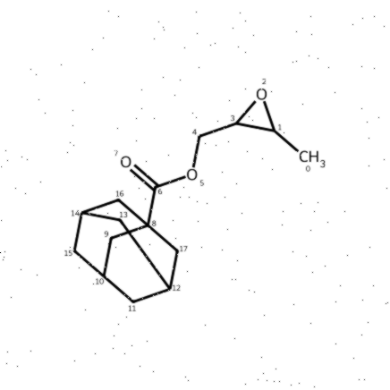 CC1OC1COC(=O)C12CC3CC(CC(C3)C1)C2